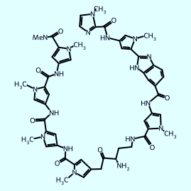 CNC(=O)c1cc(NC(=O)c2cc(NC(=O)c3cc(NC(=O)c4cc(CC(=O)[C@H](N)CCNC(=O)c5cc(NC(=O)c6ccc7nc(-c8cc(NC(=O)c9nccn9C)cn8C)[nH]c7c6)cn5C)cn4C)cn3C)cn2C)cn1C